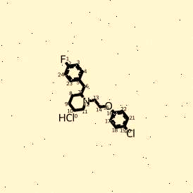 Cl.Fc1ccc(CC2CCCCN2CCOc2ccc(Cl)cc2)cc1